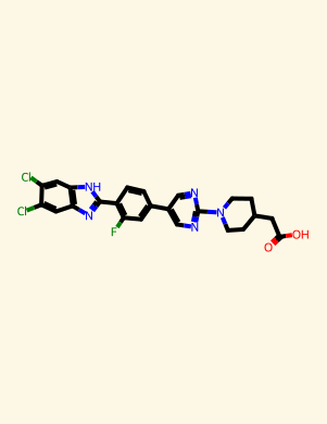 O=C(O)CC1CCN(c2ncc(-c3ccc(-c4nc5cc(Cl)c(Cl)cc5[nH]4)c(F)c3)cn2)CC1